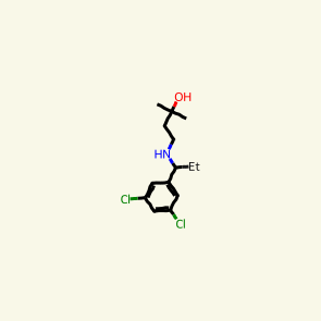 CCC(NCCC(C)(C)O)c1cc(Cl)cc(Cl)c1